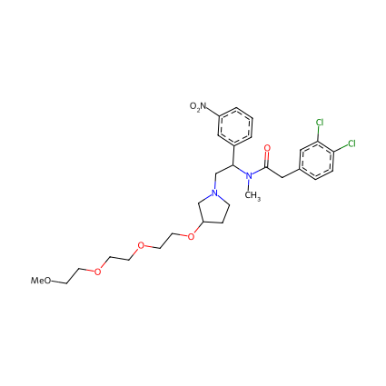 COCCOCCOCCOC1CCN(CC(c2cccc([N+](=O)[O-])c2)N(C)C(=O)Cc2ccc(Cl)c(Cl)c2)C1